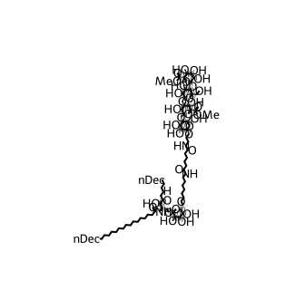 CCCCCCCCCCCCCCCCCCCCCCCCCC(=O)N[C@@H](CO[C@H]1O[C@H](COCCCCCCNC(=O)CCCCC(=O)NCCO[C@@H]2O[C@H](CO)[C@@H](O[C@@H]3O[C@H](C(=O)OC)[C@@H](O)[C@H](O[C@@H]4O[C@H](CO)[C@@H](O[C@@H]5O[C@H](C(=O)OC)[C@@H](O)[C@H](O)[C@H]5O)[C@H](O)[C@H]4O)[C@H]3O)[C@H](O)[C@H]2O)[C@H](O)[C@H](O)[C@H]1O)[C@H](O)[C@H](O)CCCCCCCCCCCCCC